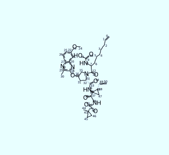 C=CCCCCCC(NC(=O)O)C(=O)N1C[C@H](Oc2nc3cc(OC)ccc3nc2C)C[C@H]1C(=O)N[C@]1(C(=O)NS(=O)(=O)C2(C)CC2)C[C@H]1C=C